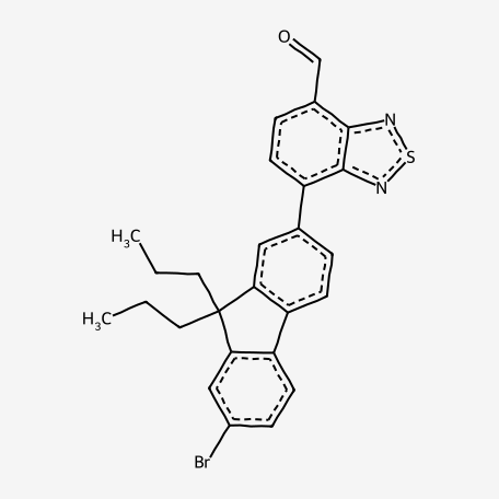 CCCC1(CCC)c2cc(Br)ccc2-c2ccc(-c3ccc(C=O)c4nsnc34)cc21